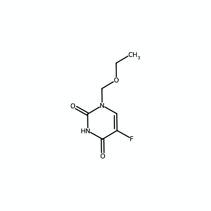 CCOCn1cc(F)c(=O)[nH]c1=O